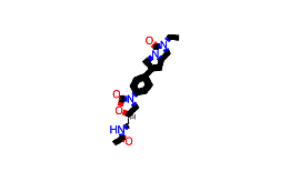 CCN1CC2C=C(c3ccc(N4C[C@H](CNC(C)=O)OC4=O)cc3)CN2C1=O